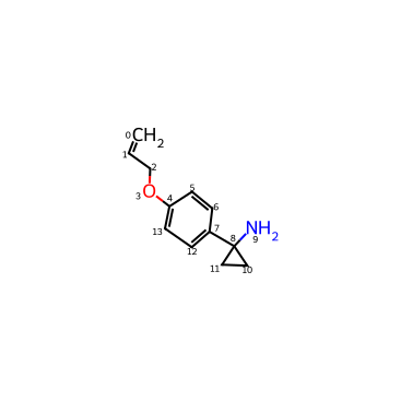 C=CCOc1ccc(C2(N)CC2)cc1